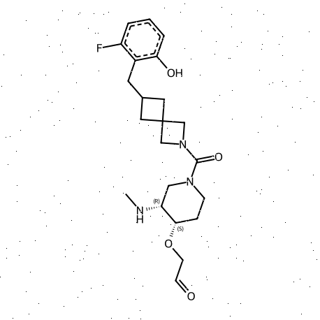 CN[C@@H]1CN(C(=O)N2CC3(CC(Cc4c(O)cccc4F)C3)C2)CC[C@@H]1OCC=O